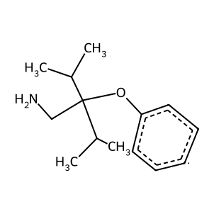 CC(C)C(CN)(Oc1cc[c]cc1)C(C)C